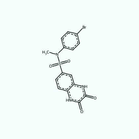 CN(c1ccc(Br)cc1)S(=O)(=O)c1ccc2[nH]c(=O)c(=O)[nH]c2c1